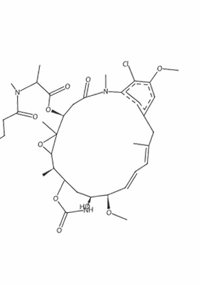 CCCC(=O)N(C)C(C)C(=O)O[C@H]1CC(=O)N(C)c2cc(cc(OC)c2Cl)C/C(C)=C/C=C/[C@@H](OC)[C@@]2(O)CC(OC(=O)N2)[C@@H](C)C2OC21C